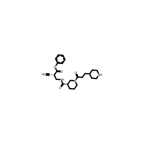 C#C[C@@H](CNC(=O)[C@@H]1CCCN(C(=O)CCC2CCNCC2)C1)C(=O)Oc1ccccc1